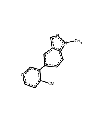 Cn1ncc2cc(-c3cnccc3C#N)ccc21